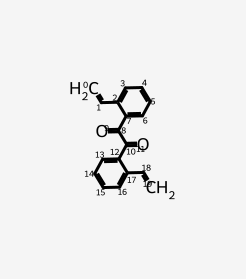 C=Cc1ccccc1C(=O)C(=O)c1ccccc1C=C